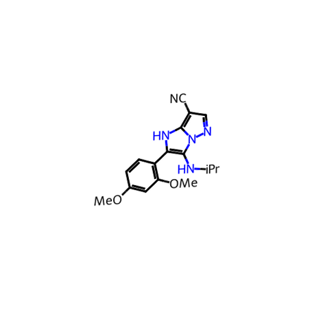 COc1ccc(-c2[nH]c3c(C#N)cnn3c2NC(C)C)c(OC)c1